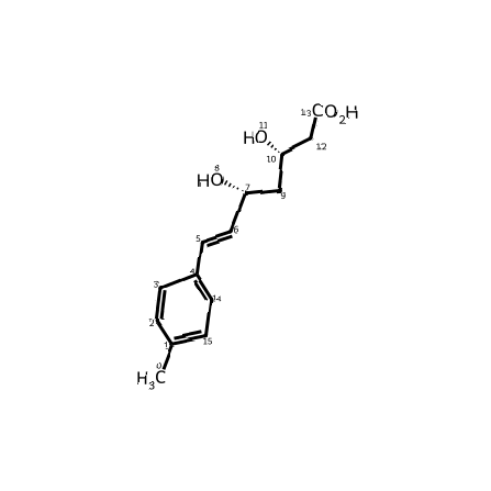 Cc1ccc(/C=C/[C@H](O)C[C@H](O)CC(=O)O)cc1